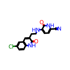 N#Cc1ccc(NCCc2cc3cc(Cl)ccc3[nH]c2=O)c(=O)[nH]1